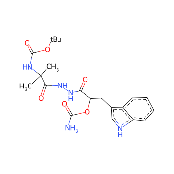 CC(C)(C)OC(=O)NC(C)(C)C(=O)NNC(=O)C(Cc1c[nH]c2ccccc12)OC(N)=O